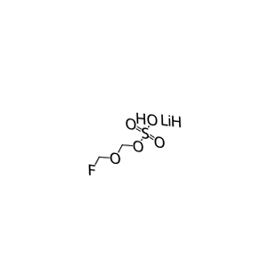 O=S(=O)(O)OCOCF.[LiH]